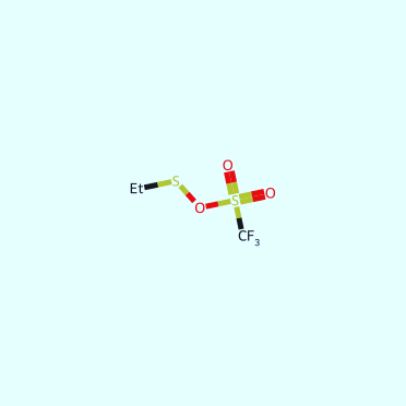 CCSOS(=O)(=O)C(F)(F)F